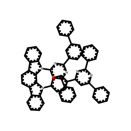 c1ccc(-c2cccc(-c3nc(-c4ccccc4)nc(-n4c5ccccc5c5ccc6c7ccccc7n(-c7ccc(-c8cc(-c9ccccc9)nc(-c9ccccc9)n8)cc7)c6c54)n3)c2)cc1